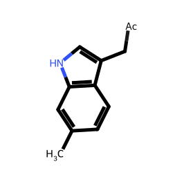 CC(=O)Cc1c[nH]c2cc(C)ccc12